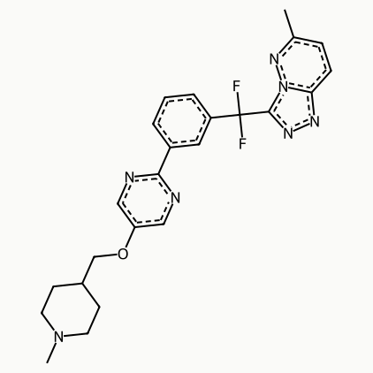 Cc1ccc2nnc(C(F)(F)c3cccc(-c4ncc(OCC5CCN(C)CC5)cn4)c3)n2n1